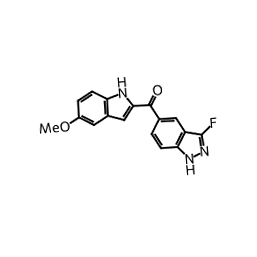 COc1ccc2[nH]c(C(=O)c3ccc4[nH]nc(F)c4c3)cc2c1